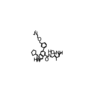 Cc1cc(C)c(CNC(=O)c2cc(-c3cccc(COCCN(C)C)c3)cc(NC3CCCC3)c2C=N)c(=O)[nH]1